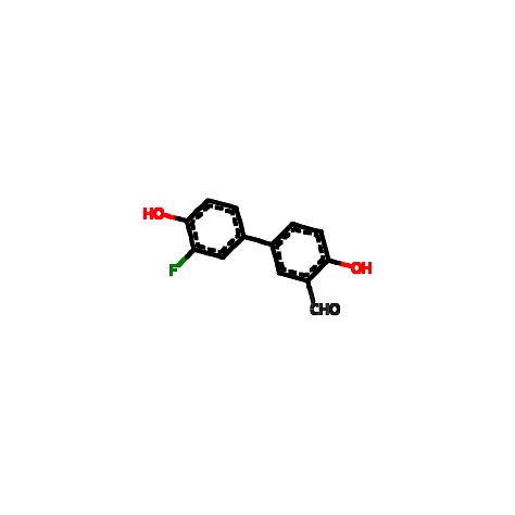 O=Cc1cc(-c2ccc(O)c(F)c2)ccc1O